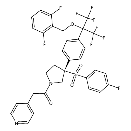 O=C(Cc1ccncc1)N1CC[C@](c2ccc(C(OCc3c(F)cccc3F)(C(F)(F)F)C(F)(F)F)cc2)(S(=O)(=O)c2ccc(F)cc2)C1